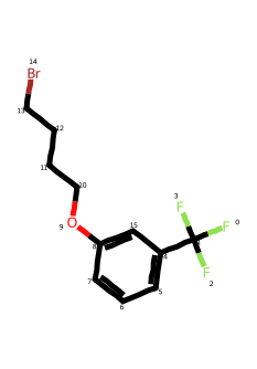 FC(F)(F)c1cccc(OCCCCBr)c1